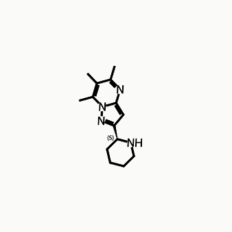 Cc1nc2cc([C@@H]3CCCCN3)nn2c(C)c1C